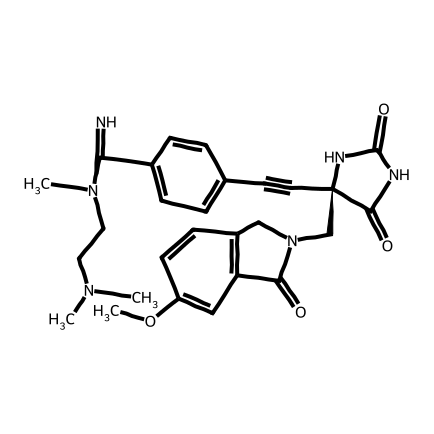 COc1ccc2c(c1)C(=O)N(C[C@@]1(C#Cc3ccc(C(=N)N(C)CCN(C)C)cc3)NC(=O)NC1=O)C2